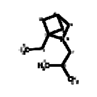 CCC12CC(CN1CC(C)C)C2